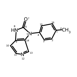 Cc1ccc(-n2c(=O)[nH]c3ccncc32)cc1